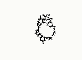 Cc1ccc2c(c1)O[C@@H](C)CC=CCOC1(C)CCN(CC1)c1c([C@H](OC(C)(C)C)C(=O)O)c(C)nc3cc(nn13)-c1cccc-2c1